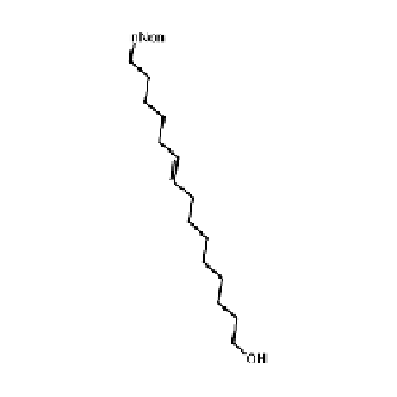 CCCCCCCCCCCCCC/C=C/CCCCCCCCO